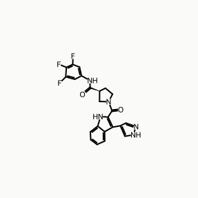 O=C(Nc1cc(F)c(F)c(F)c1)[C@H]1CCN(C(=O)c2[nH]c3ccccc3c2-c2cn[nH]c2)C1